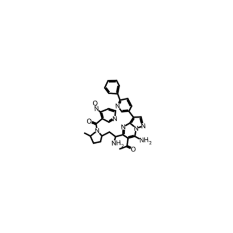 CC(=O)c1c(C(N)CC2CCC(C)N2C(=O)c2cnccc2N=O)nc2c(-c3ccc(-c4ccccc4)nc3)cnn2c1N